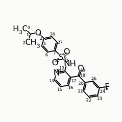 CC(C)Oc1ccc(S(=O)(=O)Nc2ncccc2C(=O)c2cccc(F)c2)cc1